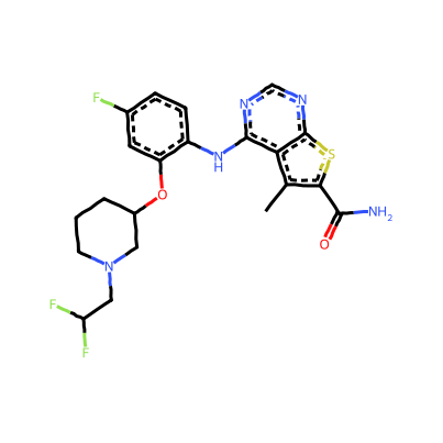 Cc1c(C(N)=O)sc2ncnc(Nc3ccc(F)cc3OC3CCCN(CC(F)F)C3)c12